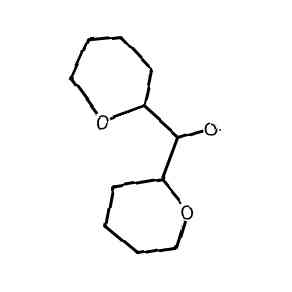 [O]C(C1CCCCO1)C1CCCCO1